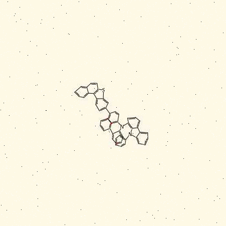 c1ccc(-c2ccccc2N(c2ccc(-c3ccc4c(c3)sc3ccc5ccccc5c34)cc2)c2cccc3c4ccccc4n(-c4ccccc4)c23)cc1